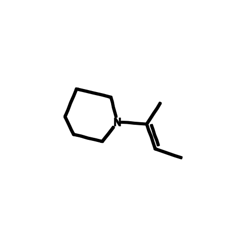 C/C=C(\C)N1CCCCC1